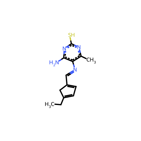 CCC1=CC=C(/C=N/c2c(C)nc(S)nc2N)C1